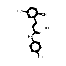 Cl.Nc1ccc(O)c(/C=C/C(=O)Nc2ccc(O)cc2)c1